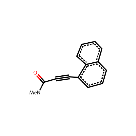 CNC(=O)C#Cc1cccc2ccccc12